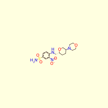 NS(=O)(=O)c1ccc(NC[C@H]2CC[C@H](N3CCOCC3)CO2)c([N+](=O)[O-])c1